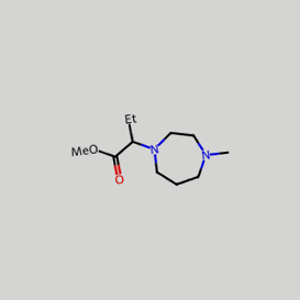 CCC(C(=O)OC)N1CCCN(C)CC1